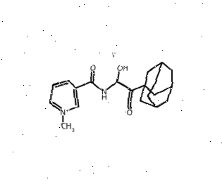 C[n+]1cccc(C(=O)NC(O)C(=O)C23CC4CC(CC(C4)C2)C3)c1.[I-]